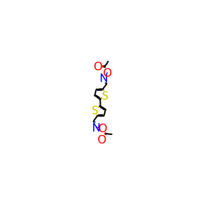 CC(=O)O/N=C\c1ccc(-c2ccc(/C=N/OC(C)=O)s2)s1